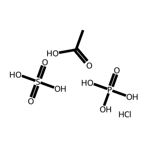 CC(=O)O.Cl.O=P(O)(O)O.O=S(=O)(O)O